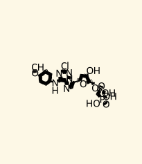 CO[C@H]1CC[C@@H](Nc2nc(Cl)nn3c([C@H]4C[C@H](O)[C@@H](COP(=O)(O)CP(=O)(O)O)O4)cnc23)CC1